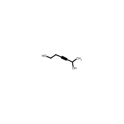 CC(O)C#CCCO